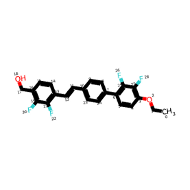 CCOc1ccc(-c2ccc(/C=C/c3ccc(CO)c(F)c3F)cc2)c(F)c1F